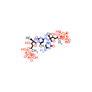 C#CC1(N)[C@@H](O)[C@@H]([C@@H](C)OP(=O)(O)OP(=O)(O)OP(=O)(O)O)O[C@H]1n1c(C)cc(NNC2(C#C)[C@@H](O)[C@@H]([C@@H](C)OP(=O)(O)OP(=O)(O)OP(=O)(O)O)O[C@H]2n2ncc(N)nc2=O)nc1=O